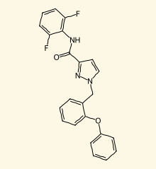 O=C(Nc1c(F)cccc1F)c1ccn(Cc2ccccc2Oc2ccccc2)n1